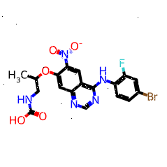 CC(CNC(=O)O)Oc1cc2ncnc(Nc3ccc(Br)cc3F)c2cc1[N+](=O)[O-]